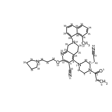 C=CC(=O)N1CCN(c2c(C#N)c(OCCCN3CCCC3)nc3c2CCN(c2cccc4cccc(C)c24)C3)C[C@@H]1CC#N